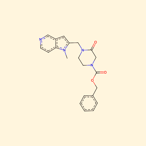 Cn1c(CN2CCN(C(=O)OCc3ccccc3)CC2=O)cc2cnccc21